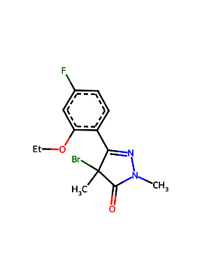 CCOc1cc(F)ccc1C1=NN(C)C(=O)C1(C)Br